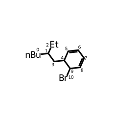 CCCCC(CC)CC1C=CC=CC1Br